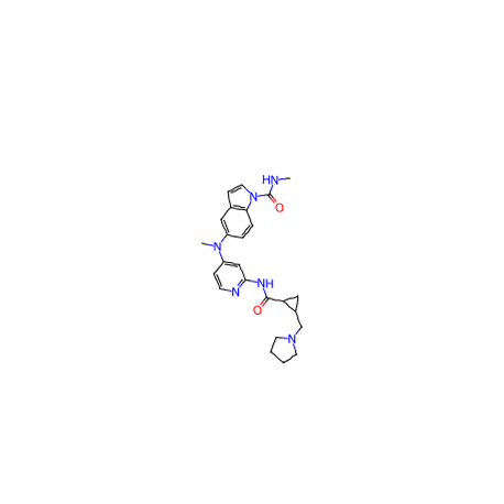 CNC(=O)n1ccc2cc(N(C)c3ccnc(NC(=O)C4CC4CN4CCCC4)c3)ccc21